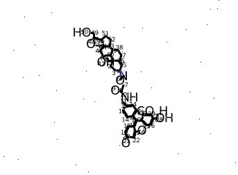 CC12CC/C(=N\OCC(=O)NCc3ccc(-c4c5ccc(=O)cc-5oc5cc(O)ccc45)c(C(=O)O)c3)C=C1CCC1C2[C@@H](O)C[C@]2(C)C(C(=O)CO)CCC12